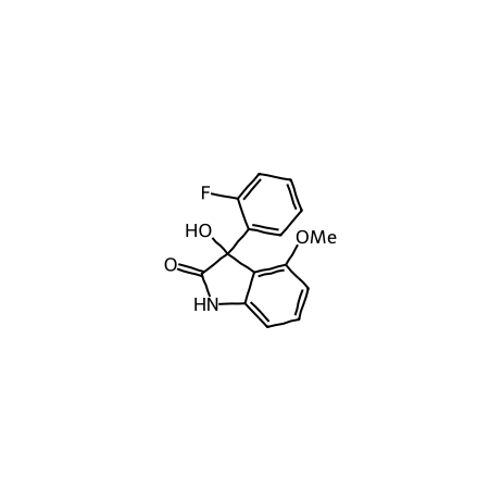 COc1cccc2c1C(O)(c1ccccc1F)C(=O)N2